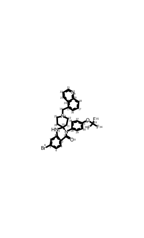 O=C1c2ccc(Br)cc2NC2(CCN(Cc3cccc4ncccc34)CC2)N1c1ccc(OC(F)(F)F)cc1